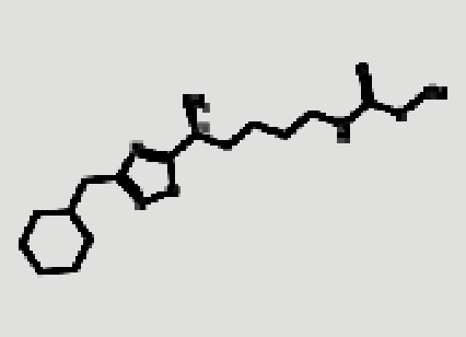 CC(C)(C)OC(=O)NCCCC[C@H](N)c1nc(CC2CCCCC2)no1